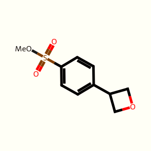 COS(=O)(=O)c1ccc(C2COC2)cc1